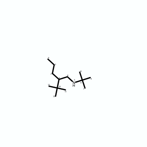 CCCC(CNC(C)(C)C)C(C)(C)C